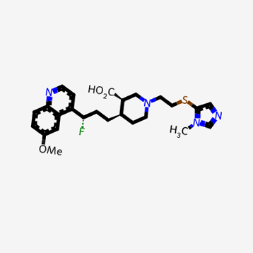 COc1ccc2nccc([C@@H](F)CC[C@@H]3CCN(CCSc4cncn4C)C[C@@H]3C(=O)O)c2c1